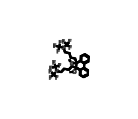 COC1(CCCCN(C(F)(F)F)C(F)(F)F)c2ccccc2-c2ccccc2C1(CCCCN(C(F)(F)F)C(F)(F)F)OC